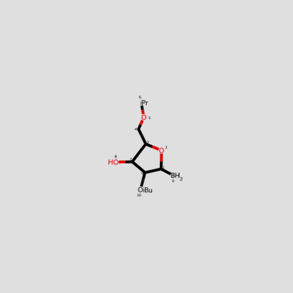 BC1OC(COC(C)C)C(O)C1OCC(C)C